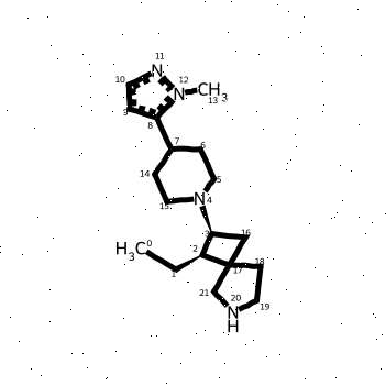 CC[C@H]1[C@@H](N2CCC(c3ccnn3C)CC2)CC12CCNC2